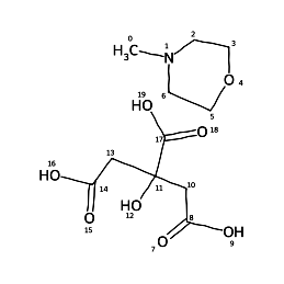 CN1CCOCC1.O=C(O)CC(O)(CC(=O)O)C(=O)O